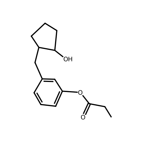 CCC(=O)Oc1cccc(CC2CCCC2O)c1